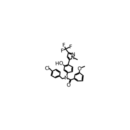 COc1cccc(C(=O)N(Cc2ccc(Cl)cc2)c2ccc(-c3cc(C(F)(F)F)nn3C)c(O)c2)c1